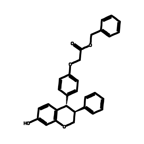 O=C(COc1ccc([C@H]2c3ccc(O)cc3OC[C@@H]2c2ccccc2)cc1)OCc1ccccc1